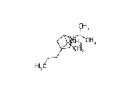 CCCC12CC(N(C(C)C)C1)C2(C)C